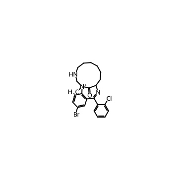 C[N+]12CNCCCCCCC(N=C(c3ccccc3Cl)c3cc(Br)ccc31)C2=O